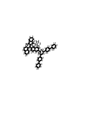 CC1(C)c2ccccc2-c2nc3ccc4ccccc4c3c(-c3ccc4cc(-c5nc(-c6ccc(-c7ccccc7)cc6)cc(-c6ccc(-c7ccccc7)cc6)n5)ccc4c3)c21